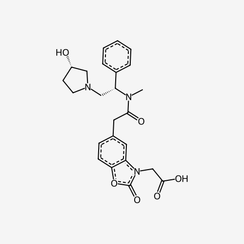 CN(C(=O)Cc1ccc2oc(=O)n(CC(=O)O)c2c1)[C@H](CN1CC[C@H](O)C1)c1ccccc1